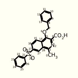 Cc1nc(C(=O)O)c(OCc2ccccc2)c2ccc(S(=O)(=O)c3ccccc3)cc12